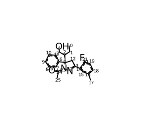 CCC(CO)[C@@]1(c2ccccc2)CC(c2cc(C)ccc2F)=NN1C(C)=O